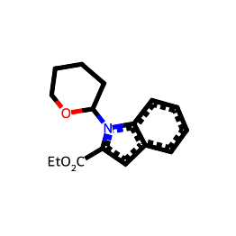 CCOC(=O)c1cc2ccccc2n1C1CCCCO1